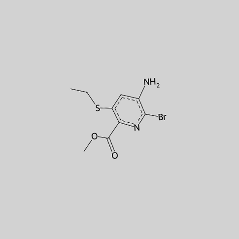 CCSc1cc(N)c(Br)nc1C(=O)OC